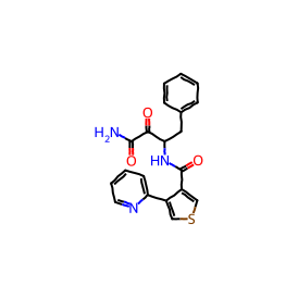 NC(=O)C(=O)C(Cc1ccccc1)NC(=O)c1cscc1-c1ccccn1